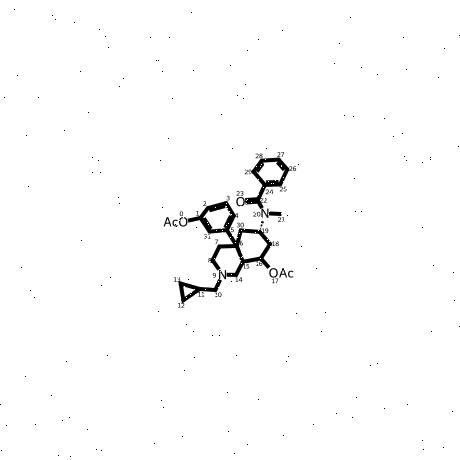 CC(=O)Oc1cccc(C23CCN(CC4CC4)CC2C(OC(C)=O)C[C@@H](N(C)C(=O)c2ccccc2)C3)c1